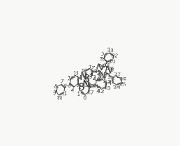 C1=CB2c3cc(-c4ccccc4)ccc3N3C=CC(c4nc(-c5ccccc5)nc(-c5ccccc5)n4)=CB3N2C(c2ccccc2)=C1